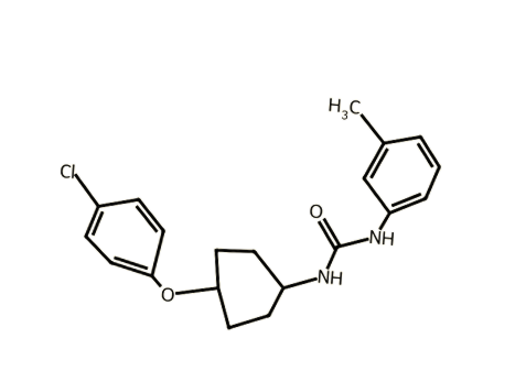 Cc1cccc(NC(=O)NC2CCC(Oc3ccc(Cl)cc3)CC2)c1